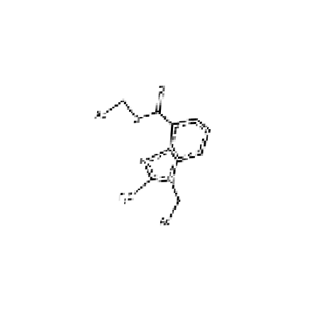 CC(=O)COC(=O)c1cccc2c1nc(C(F)(F)F)n2CC(C)=O